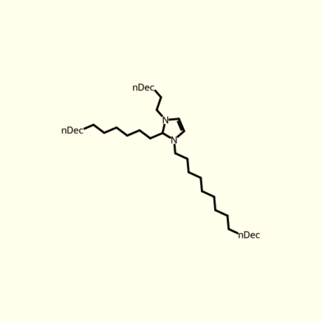 CCCCCCCCCCCCCCCCCCCN1C=CN(CCCCCCCCCCCC)C1CCCCCCCCCCCCCCCC